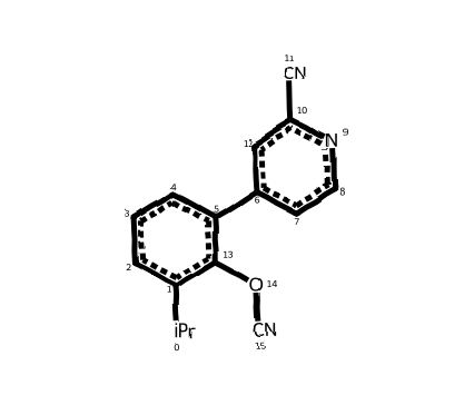 CC(C)c1cccc(-c2ccnc(C#N)c2)c1OC#N